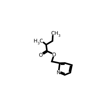 CCC(C)C(=O)OCc1ccccn1